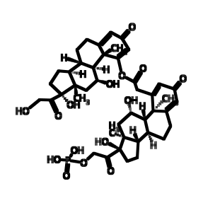 C[C@@]12C(=CC(=O)C=C1CC(=O)OC1=CC(=O)C=C3CC[C@@H]4[C@H]([C@@H](O)C[C@@]5(C)[C@H]4CC[C@]5(O)C(=O)CO)[C@]31C)CC[C@@H]1[C@@H]2[C@@H](O)C[C@@]2(C)[C@H]1CC[C@]2(O)C(=O)COP(=O)(O)O